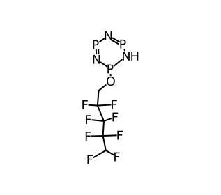 FC(F)C(F)(F)C(F)(F)C(F)(F)COP1N=PN=PN1